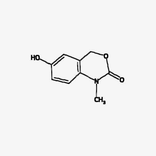 CN1C(=O)OCc2cc(O)ccc21